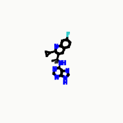 C[C@H](Nc1ncnc2[nH]cnc12)c1cc2ccc(F)cc2nc1C1CC1